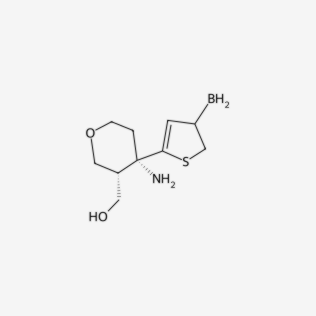 BC1C=C([C@]2(N)CCOC[C@H]2CO)SC1